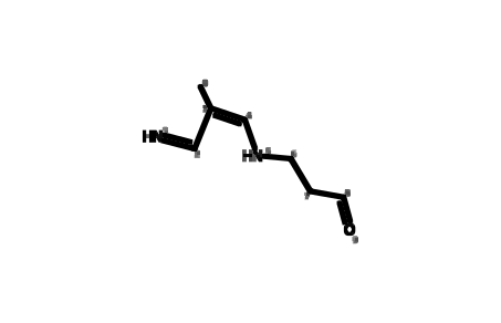 C/C(C=N)=C/NCCC=O